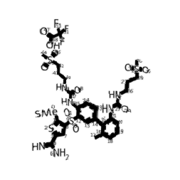 CSc1sc(C(=N)N)cc1S(=O)(=O)c1cc(-c2c(C)cccc2NC(=O)NCCCS(C)(=O)=O)ccc1NC(=O)NCCCS(C)(=O)=O.O=C(O)C(F)(F)F